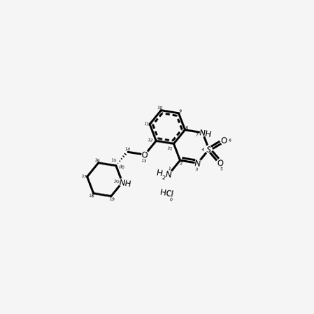 Cl.NC1=NS(=O)(=O)Nc2cccc(OC[C@H]3CCCCN3)c21